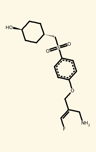 NC/C(=C\F)COc1ccc(S(=O)(=O)C[C@H]2CC[C@H](O)CC2)cc1